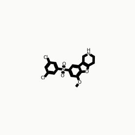 COc1cc(S(=O)(=O)c2cc(Cl)cc(Cl)c2)cc2c3c(oc12)CCNC3